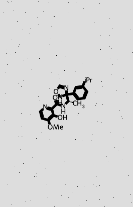 COc1ccnc(C(=O)N[C@@H](C)C2(c3cccc(C(C)C)c3)N=CON2)c1O